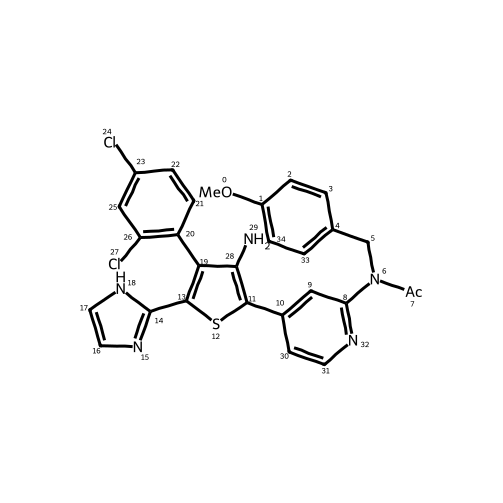 COc1ccc(CN(C(C)=O)c2cc(-c3sc(-c4ncc[nH]4)c(-c4ccc(Cl)cc4Cl)c3N)ccn2)cc1